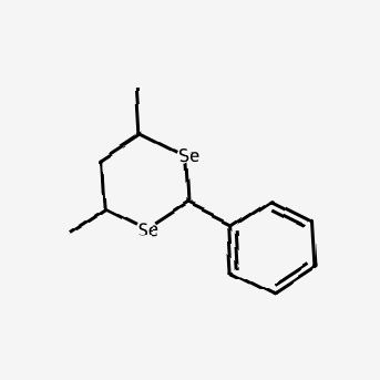 CC1CC(C)[Se]C(c2ccccc2)[Se]1